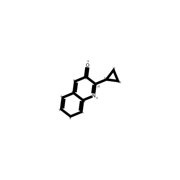 O=C1C=C2C=CCC=C2N=C1C1CC1